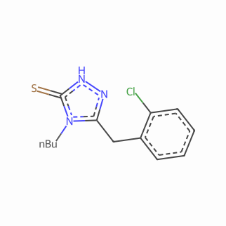 CCCCn1c(Cc2ccccc2Cl)n[nH]c1=S